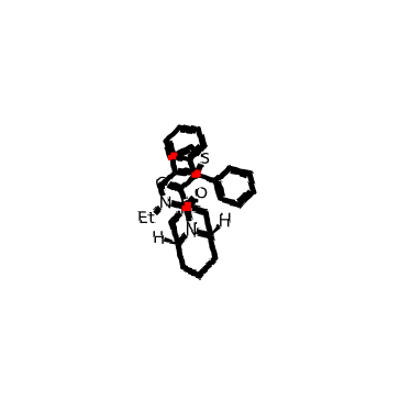 CCN(Cc1ccsc1)C(=O)N1[C@@H]2CCC[C@H]1CN(C(=O)C(c1ccccc1)c1ccccc1)C2